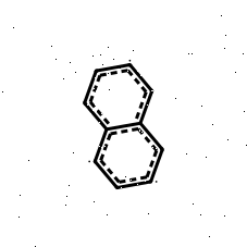 [c]1c[c]c2cc[c]cc2c1